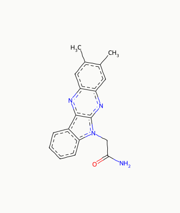 Cc1cc2nc3c4ccccc4n(CC(N)=O)c3nc2cc1C